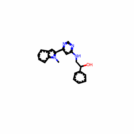 Cn1c(-c2cc(NCC(O)c3ccccc3)ncn2)cc2ccccc21